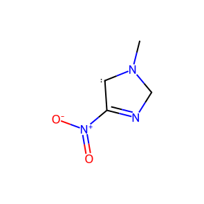 CN1[C]C([N+](=O)[O-])=NC1